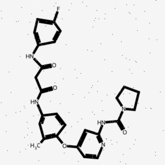 Cc1cc(NC(=O)CC(=O)Nc2ccc(F)cc2)ccc1Oc1ccnc(NC(=O)N2CCCC2)c1